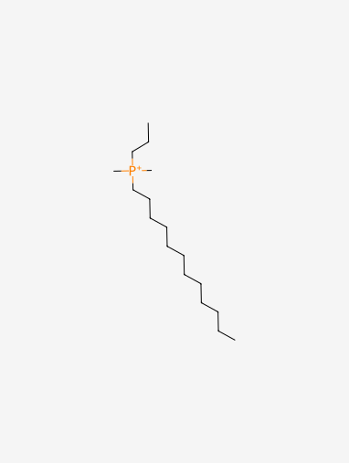 CCCCCCCCCCCC[P+](C)(C)CCC